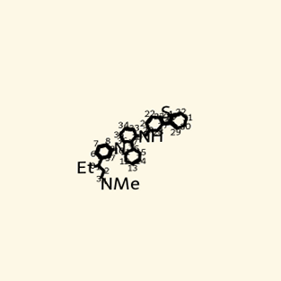 CCC(CCNC)c1cccc(N2C3CC=CCC3C3C(NC4C=Cc5sc6c(c5C4)=CCCC=6)C=CCC32)c1